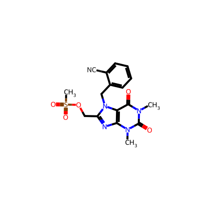 Cn1c(=O)c2c(nc(COS(C)(=O)=O)n2Cc2ccccc2C#N)n(C)c1=O